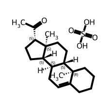 CC(=O)[C@H]1CC[C@H]2[C@@H]3CC=C4CCCC[C@]4(C)[C@H]3CC[C@]12C.O=S(=O)(O)O